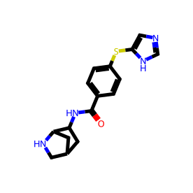 O=C(NC1CC2CNC1C2)c1ccc(Sc2cnc[nH]2)cc1